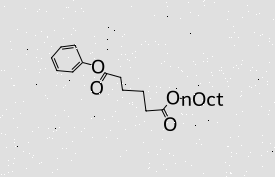 CCCCCCCCOC(=O)CCCCC(=O)Oc1ccccc1